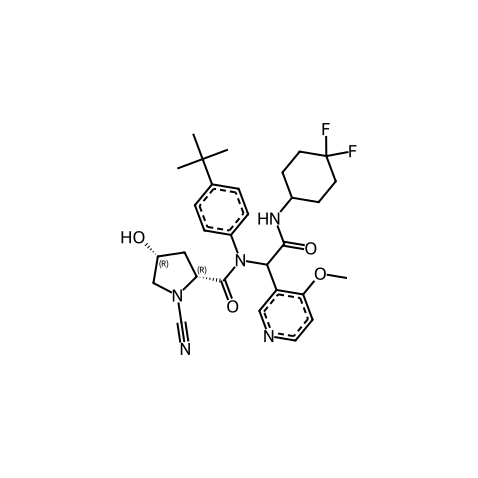 COc1ccncc1C(C(=O)NC1CCC(F)(F)CC1)N(C(=O)[C@H]1C[C@@H](O)CN1C#N)c1ccc(C(C)(C)C)cc1